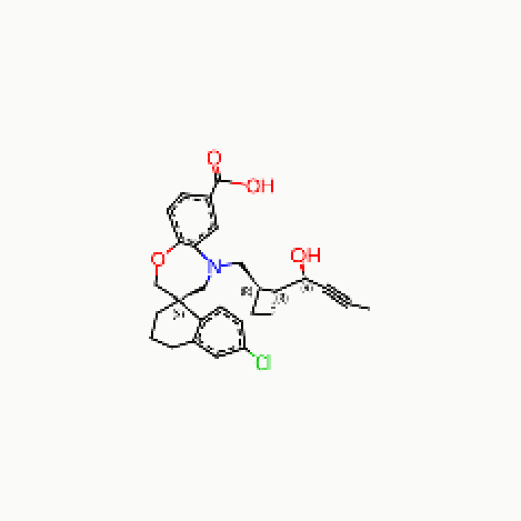 CC#C[C@H](O)[C@@H]1CC[C@H]1CN1C[C@@]2(CCCc3cc(Cl)ccc32)COc2ccc(C(=O)O)cc21